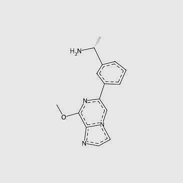 COc1nc(-c2cccc([C@@H](C)N)c2)cn2ccnc12